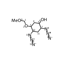 COCOC1CC(O)C(N=[N+]=[N-])CC1N=[N+]=[N-]